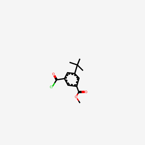 COC(=O)c1cc(C(=O)Cl)cc(C(C)(C)C)c1